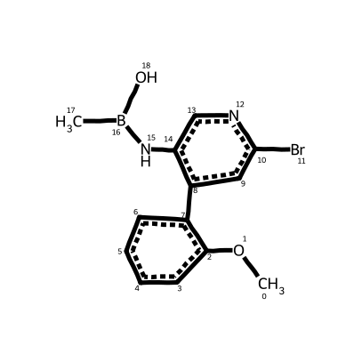 COc1ccccc1-c1cc(Br)ncc1NB(C)O